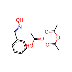 CC(=O)O.CC(=O)OC(C)=O.ON=Cc1ccccc1